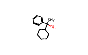 [CH2]C(O)(c1ccccc1)C1CCCCC1